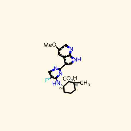 COc1cnc2[nH]cc(-c3ncc(F)c(N[C@H]4CCC[C@@](C)(C(=O)O)C4)n3)c2c1